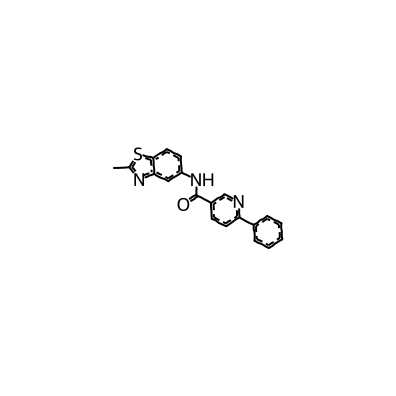 Cc1nc2cc(NC(=O)c3ccc(-c4ccccc4)nc3)ccc2s1